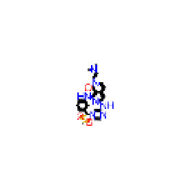 CN(C)CCn1ccc2cc(Nc3cnccn3)nc(Nc3cccc(CS(C)(=O)=O)c3)c2c1=O